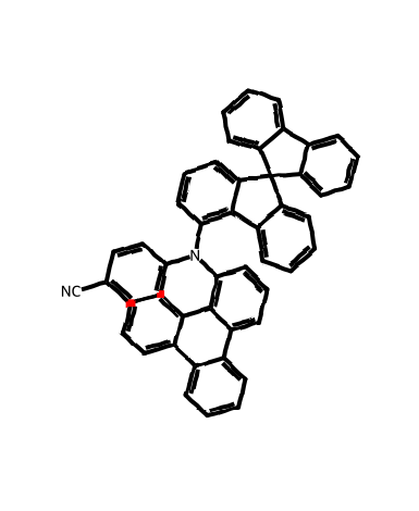 N#Cc1ccc(N(c2cccc3c2-c2ccccc2C32c3ccccc3-c3ccccc32)c2cccc3c4ccccc4c4ccccc4c23)cc1